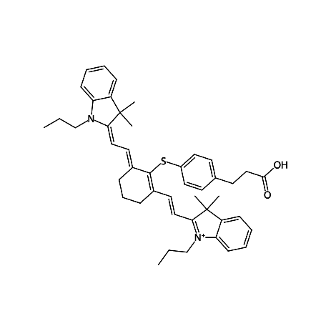 CCCN1/C(=C/C=C2\CCCC(/C=C/C3=[N+](CCC)c4ccccc4C3(C)C)=C2Sc2ccc(CCC(=O)O)cc2)C(C)(C)c2ccccc21